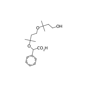 CC(C)(CCO)OCCC(C)(C)OC(C(=O)O)c1ccccc1